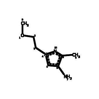 COCCn1cc(N)c(C)n1